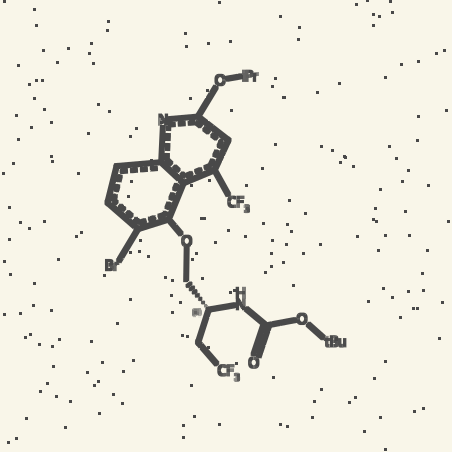 CC(C)Oc1cc(C(F)(F)F)c2c(OC[C@@H](CC(F)(F)F)NC(=O)OC(C)(C)C)c(Br)ccc2n1